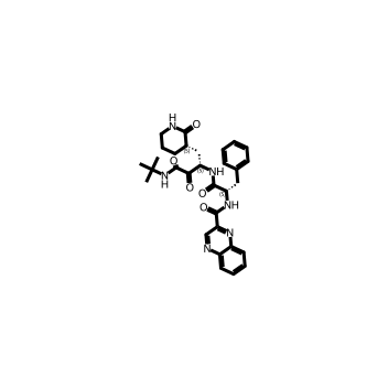 CC(C)(C)NC(=O)C(=O)[C@H](C[C@@H]1CCCNC1=O)NC(=O)[C@H](Cc1ccccc1)NC(=O)c1cnc2ccccc2n1